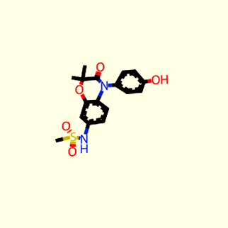 CC1(C)Oc2cc(NS(C)(=O)=O)ccc2N(c2ccc(O)cc2)C1=O